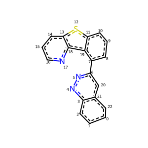 c1ccc2nnc(-c3cccc4sc5cccnc5c34)cc2c1